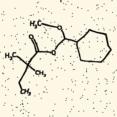 CCC(C)(C)C(=O)OC(OC)C1CCCCC1